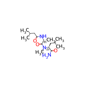 CC(C)CC(=O)N[C@H](C)C(=O)N(C)[C@@H](CC(C)C)C(N)=O